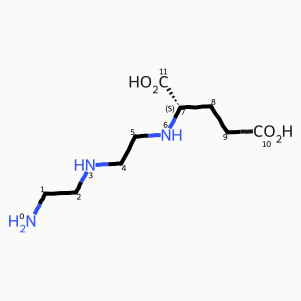 NCCNCCN[C@@H](CCC(=O)O)C(=O)O